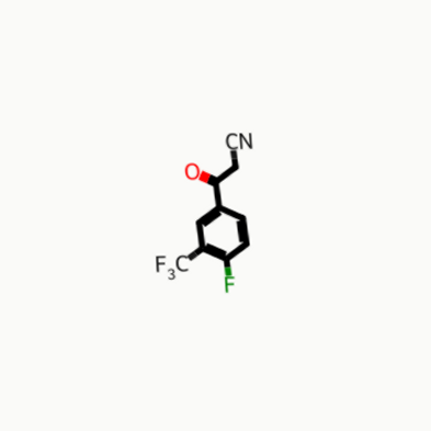 N#CCC(=O)c1ccc(F)c(C(F)(F)F)c1